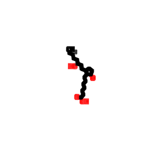 CCCCC[C@H](O)C=CC1=C(CCCCCCC(=O)O)C(=O)CC1